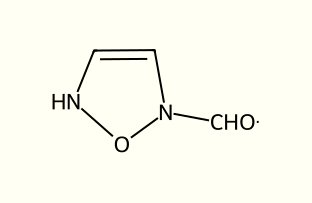 O=[C]N1C=CNO1